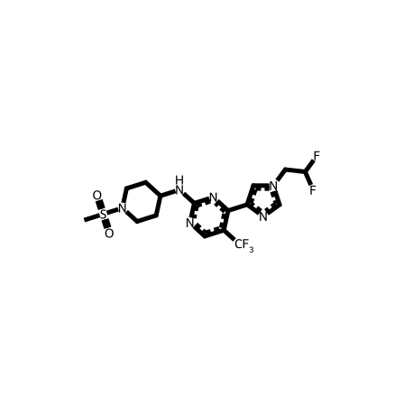 CS(=O)(=O)N1CCC(Nc2ncc(C(F)(F)F)c(-c3cn(CC(F)F)cn3)n2)CC1